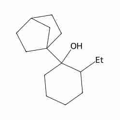 CCC1CCCCC1(O)C12CCC(CC1)C2